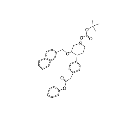 CC(C)(C)OC(=O)ON1CCC(c2ccc(CC(=O)Oc3ccccc3)cc2)C(OCc2ccc3ccccc3c2)C1